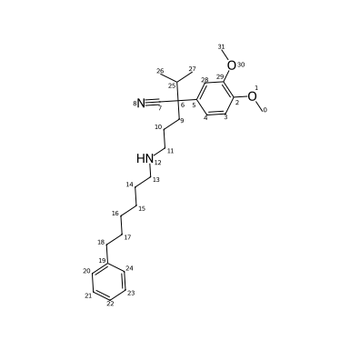 COc1ccc(C(C#N)(CCCNCCCCCCc2ccccc2)C(C)C)cc1OC